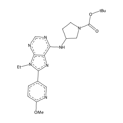 CCn1c(-c2ccc(OC)nc2)nc2c(NC3CCN(C(=O)OC(C)(C)C)C3)ncnc21